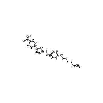 CCCCCCOc1ccc(CCc2nnc(-c3ccc(C(=O)O)cc3)s2)cc1